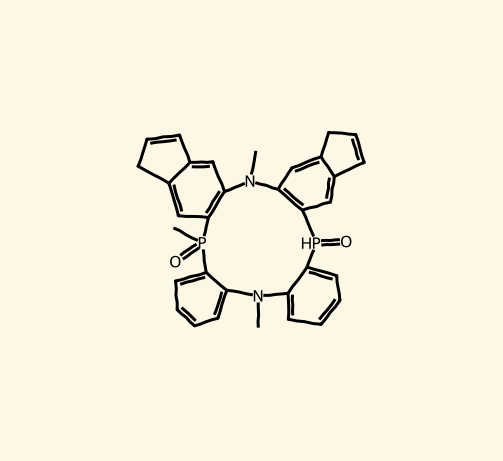 CN1c2ccccc2[PH](=O)c2cc3c(cc2N(C)c2cc4c(cc2P(C)(=O)c2ccccc21)CC=C4)CC=C3